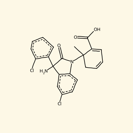 CC1(N2C(=O)C(N)(c3ccccc3Cl)c3cc(Cl)ccc32)CC=CC=C1C(=O)O